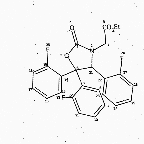 CCOC(=O)CN1C(=O)OC(c2ccccc2F)(c2ccccc2F)C1c1ccccc1F